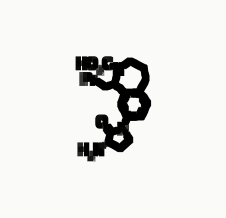 CC(C)CC1c2cc(N3CC[C@H](N)C3=O)ccc2CCCN1C(=O)O